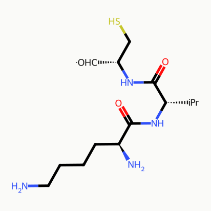 CC(C)[C@H](NC(=O)[C@@H](N)CCCCN)C(=O)N[C@H]([C]=O)CS